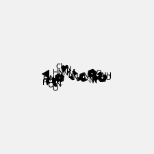 C[C@H]1CN(CC2CCN(c3cccc4c(C5CCC(=O)NC5=O)nn(C)c34)CC2)CCN1c1ncc(Cl)c(Nc2ccc3c(c2)c2c(c(=O)n3C)OCC(F)(F)[C@H](C3CC3)N2)n1